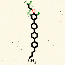 C/C=C/CCc1ccc(C2CCC(C3CC=C(c4cc(F)c(OC(F)(F)C=C(F)F)c(F)c4)CC3)CC2)cc1